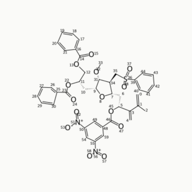 C=C(C)C(=C)[C@@H](C[C@@H]1O[C@H](C[C@@H](COC(=O)c2ccccc2)OC(=O)c2ccccc2)[C@H](OC)[C@H]1CS(=O)(=O)c1ccccc1)OC(=O)c1cc([N+](=O)[O-])cc([N+](=O)[O-])c1